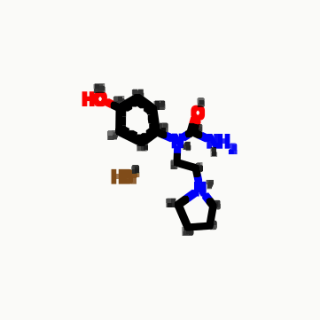 Br.NC(=O)N(CCN1CCCC1)c1ccc(O)cc1